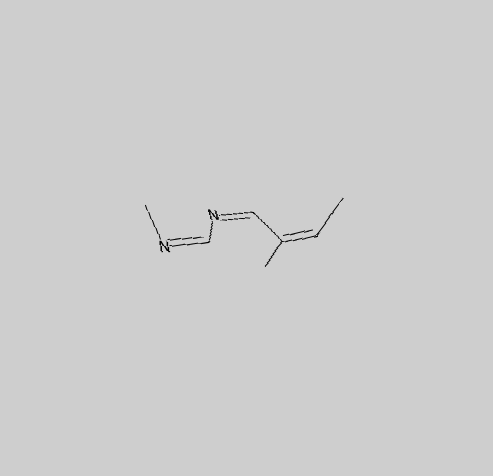 C\C=C(C)/C=N\C=N/C